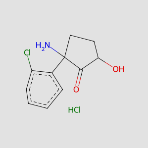 Cl.NC1(c2ccccc2Cl)CCC(O)C1=O